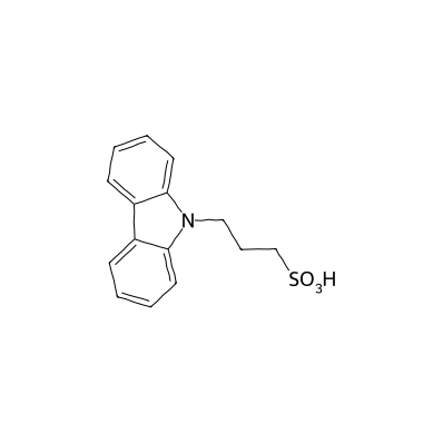 O=S(=O)(O)CCCn1c2ccccc2c2ccccc21